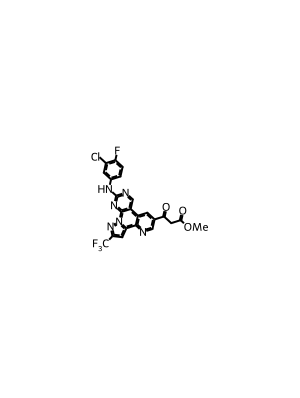 COC(=O)CC(=O)c1cnc2c(c1)c1cnc(Nc3ccc(F)c(Cl)c3)nc1n1nc(C(F)(F)F)cc21